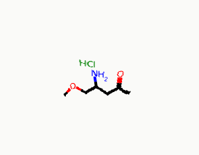 COCC(N)CC(C)=O.Cl